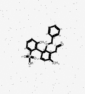 Cc1ccc(-c2c(C)cccc2S(=O)(=O)O)c(OCc2ccccc2)c1CC=O